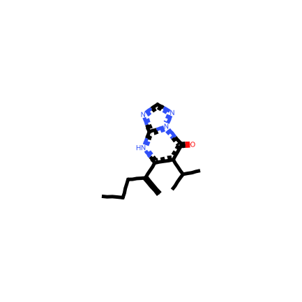 C=C(CCC)c1[nH]c2ncnn2c(=O)c1C(C)C